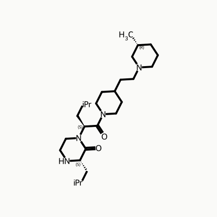 CC(C)C[C@@H]1NCCN([C@@H](CC(C)C)C(=O)N2CCC(CCN3CCC[C@@H](C)C3)CC2)C1=O